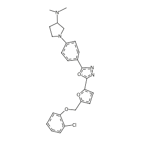 CN(C)C1CCN(c2ccc(-c3nnc(-c4ccc(COc5ccccc5Cl)o4)o3)cc2)C1